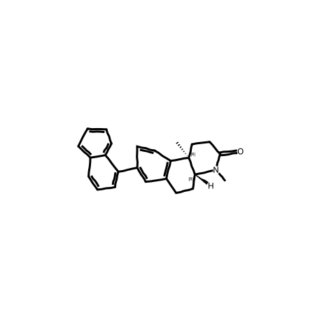 CN1C(=O)CC[C@]2(C)c3ccc(-c4cccc5ccccc45)cc3CC[C@@H]12